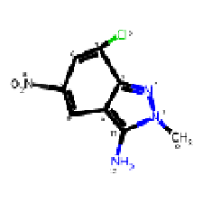 Cn1nc2c(Cl)cc([N+](=O)[O-])cc2c1N